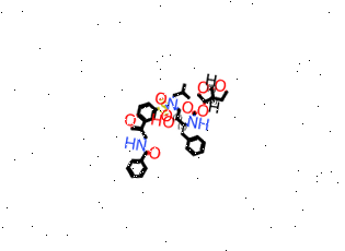 CC(C)CN(C[C@@H](O)[C@H](Cc1ccccc1)NC(=O)OC1CO[C@H]2OCC[C@@H]12)S(=O)(=O)c1ccc2occ(CNC(=O)c3ccccc3)c2c1